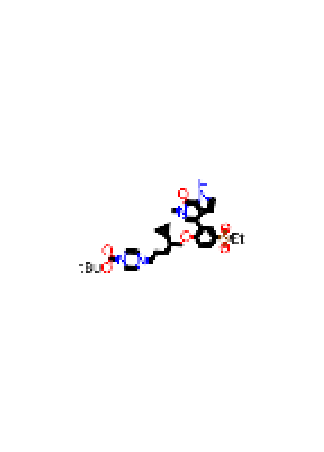 CCS(=O)(=O)c1ccc(OCC(CCCN2CCN(C(=O)OC(C)(C)C)CC2)C2CC2)c(-c2cn(C)c(=O)c3[nH]ccc23)c1